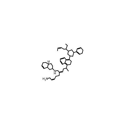 C/C=C\CC(CC)C1CC(C2=CCCC=C2)CC(C2=c3ccccc3=C(C(C)C/C=C(/CC/C=C\CN)CNC3CC[C@H]4CCC=CC4C3)CC2)C1